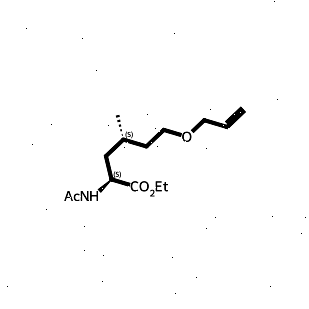 C=CCOCC[C@@H](C)C[C@H](NC(C)=O)C(=O)OCC